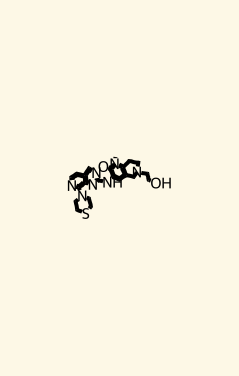 Cn1c2c(cc(Nc3ncc4ccnc(N5CCSCC5)c4n3)c1=O)CN(CCO)CC2